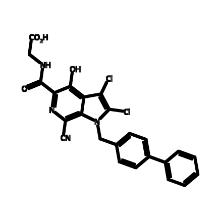 N#Cc1nc(C(=O)NCC(=O)O)c(O)c2c(Cl)c(Cl)n(Cc3ccc(-c4ccccc4)cc3)c12